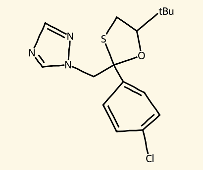 CC(C)(C)C1CSC(Cn2cncn2)(c2ccc(Cl)cc2)O1